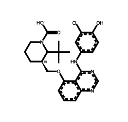 CC(C)(C)C1[C@@H](COc2cccc3ncnc(Nc4ccc(O)c(Cl)c4)c23)CCCN1C(=O)O